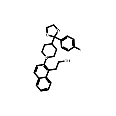 OCCc1c(N2CCC(C3(c4ccc(F)cc4)OCCO3)CC2)ccc2ccccc12